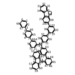 c1ccc(-c2ccc(-c3cccc(N(c4ccc(-c5cccc(-c6ccc7c(c6)oc6ccccc67)c5)cc4)c4ccc(-c5ccccc5-n5c6ccccc6c6ccccc65)cc4)c3)cc2)cc1